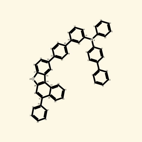 c1ccc(-c2ccc(N(c3ccccc3)c3cccc(-c4ccc(-c5ccc6oc7cc(-c8ccccc8)c8ccccc8c7c6c5)cc4)c3)cc2)cc1